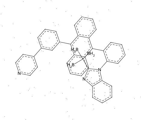 BC(B)(B)c1nc2ccccc2n1-c1ccccc1-c1c2ccccc2c(-c2cccc(-c3ccncc3)c2)c2ccccc12